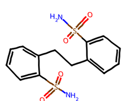 NS(=O)(=O)c1ccccc1CCc1ccccc1S(N)(=O)=O